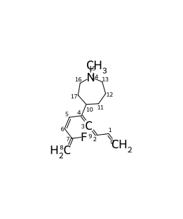 C=CC=C=C(/C=C\C(=C)F)C1CCCN(C)CC1